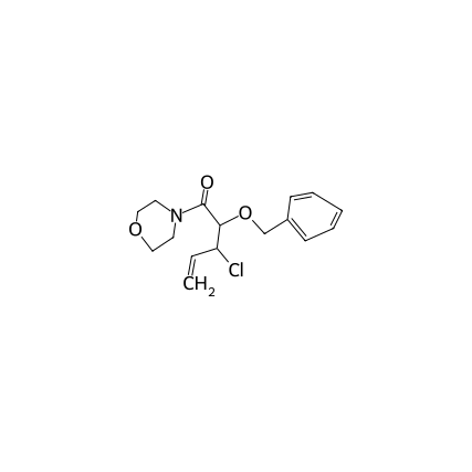 C=CC(Cl)C(OCc1ccccc1)C(=O)N1CCOCC1